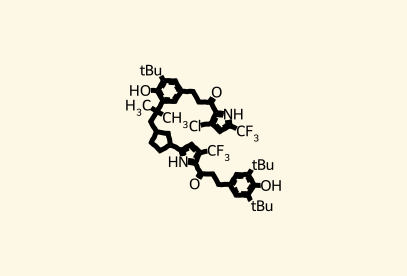 CC(C)(C)c1cc(CCC(=O)c2[nH]c(C3CCC(CC(C)(C)c4cc(CCC(=O)c5[nH]c(C(F)(F)F)cc5Cl)cc(C(C)(C)C)c4O)C3)cc2C(F)(F)F)cc(C(C)(C)C)c1O